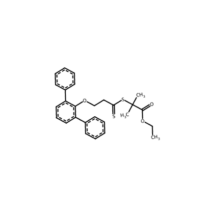 CCOC(=O)C(C)(C)SC(=S)CCOc1c(-c2ccccc2)cccc1-c1ccccc1